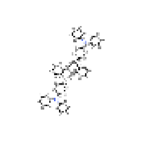 c1ccc(N(c2ccccc2)c2ccc(-c3cc4c5ccccc5c(-c5ccc(N(c6ccccc6)c6ccccc6)cc5)cc4c4ccccc34)cc2)cc1